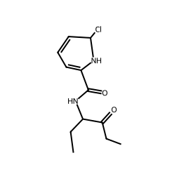 CCC(=O)C(CC)NC(=O)C1=CC=CC(Cl)N1